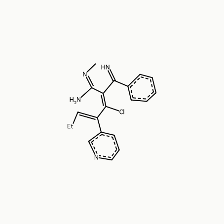 CC/C=C(/C(Cl)=C(C(=N)c1ccccc1)\C(N)=N/C)c1cccnc1